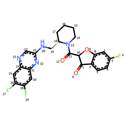 O=C1c2ccc(F)cc2OC1C(=O)N1CCCC[C@H]1CNc1cnc2cc(F)c(F)cc2n1